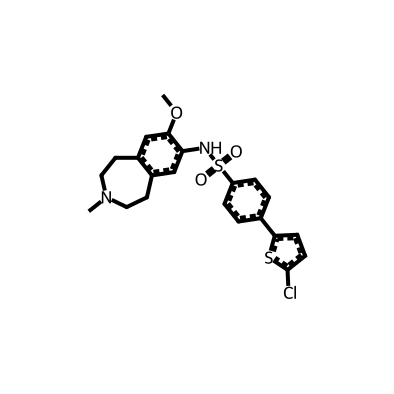 COc1cc2c(cc1NS(=O)(=O)c1ccc(-c3ccc(Cl)s3)cc1)CCN(C)CC2